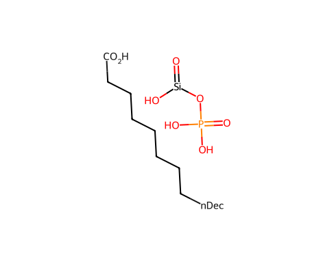 CCCCCCCCCCCCCCCCCC(=O)O.O=[Si](O)OP(=O)(O)O